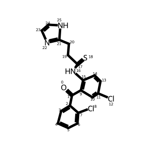 O=C(c1ccccc1Cl)c1cc(Cl)ccc1NC(=S)CCc1ncc[nH]1